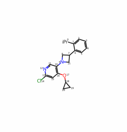 CC(C)c1ccccc1C1CN(c2cnc(Cl)cc2OC2CC2)C1